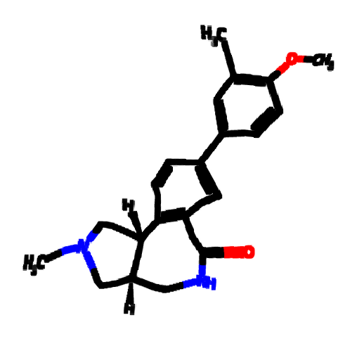 COc1ccc(-c2ccc3c(c2)C(=O)NC[C@H]2CN(C)C[C@H]32)cc1C